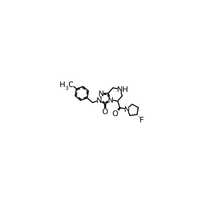 Cc1ccc(Cn2nc3n(c2=O)C(C(=O)N2CC[C@H](F)C2)CNC3)cc1